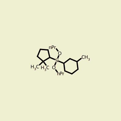 CCCO[Si](OCCC)(C1CCCC(C)C1)C1CCCC1(C)C